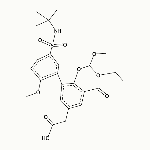 CCOC(OC)Oc1c(C=O)cc(CC(=O)O)cc1-c1cc(S(=O)(=O)NC(C)(C)C)ccc1OC